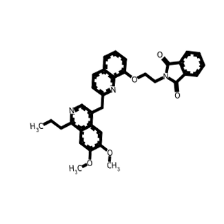 CCCc1ncc(Cc2ccc3cccc(OCCN4C(=O)c5ccccc5C4=O)c3n2)c2cc(OC)c(OC)cc12